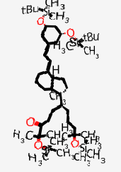 CC(C)(CCC[C@@H](CCC(=O)C(C)(C)O[Si](C)(C)C)[C@H]1CC[C@H]2C(=CC=C3C[C@@H](O[Si](C)(C)C(C)(C)C)C[C@H](O[Si](C)(C)C(C)(C)C)C3)CCC[C@]12C)O[Si](C)(C)C